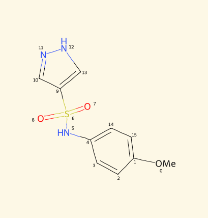 COc1ccc(NS(=O)(=O)c2cn[nH]c2)cc1